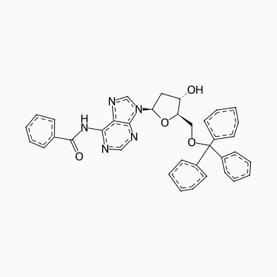 O=C(Nc1ncnc2c1ncn2[C@H]1C[C@H](O)[C@@H](COC(c2ccccc2)(c2ccccc2)c2ccccc2)O1)c1ccccc1